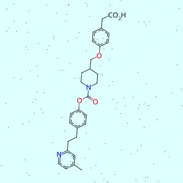 Cc1ccnc(CCc2ccc(OC(=O)N3CCC(COc4ccc(CC(=O)O)cc4)CC3)cc2)c1